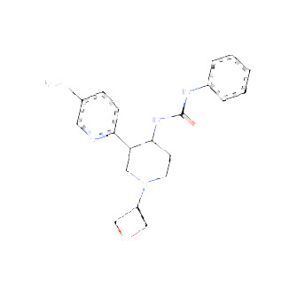 COc1ccc(C2CN(C3COC3)CCC2NC(=O)Nc2ccccc2)nc1